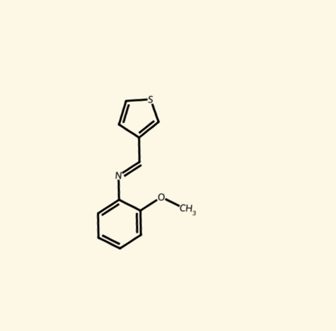 COc1ccccc1N=Cc1ccsc1